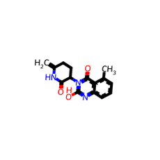 C=C1CCC(n2c(O)nc3cccc(C)c3c2=O)C(=O)N1